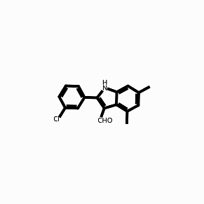 Cc1cc(C)c2c(C=O)c(-c3cccc(Cl)c3)[nH]c2c1